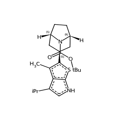 Cc1c([C@@H]2C[C@H]3CC[C@@H](C2)N3C(=O)OC(C)(C)C)sc2[nH]cc(C(C)C)c12